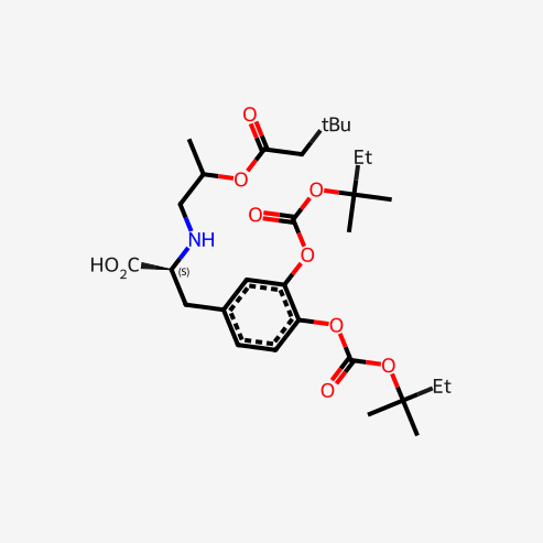 CCC(C)(C)OC(=O)Oc1ccc(C[C@H](NCC(C)OC(=O)CC(C)(C)C)C(=O)O)cc1OC(=O)OC(C)(C)CC